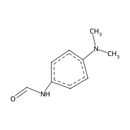 CN(C)c1ccc(NC=O)cc1